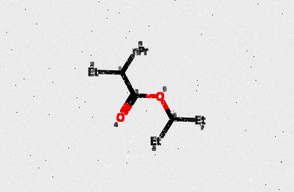 CCCC(CC)C(=O)OC(CC)CC